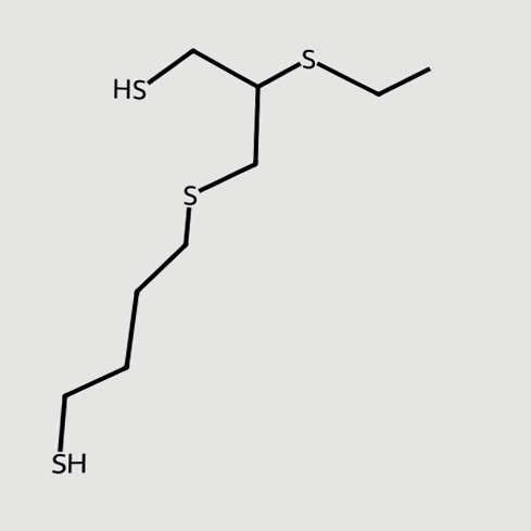 CCSC(CS)CSCCCCS